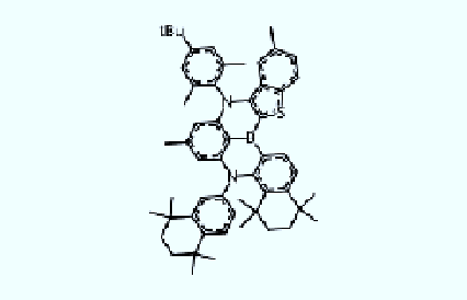 Cc1cc2c3c(c1)N(c1c(C)cc(C(C)(C)C)cc1C)c1c(sc4ccc(C)cc14)B3c1ccc3c(c1N2c1ccc2c(c1)C(C)(C)CCC2(C)C)C(C)(C)CCC3(C)C